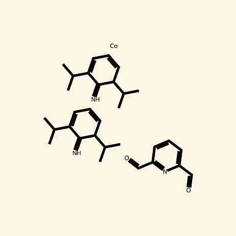 CC(C)C1=CC=CC(C(C)C)C1=N.CC(C)C1=CC=CC(C(C)C)C1=N.O=Cc1cccc(C=O)n1.[Co]